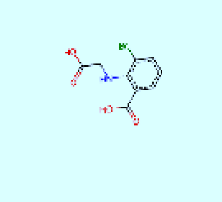 O=C(O)CNc1c(Br)cccc1C(=O)O